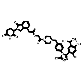 CC(C)c1cc(-c2nnc(O)n2-c2ccc(CN3CCN(C(=O)COC(=O)Cc4cccc5c4CN(C4CCC(=O)NC4=O)C5=O)CC3)cc2)c(O)cc1O